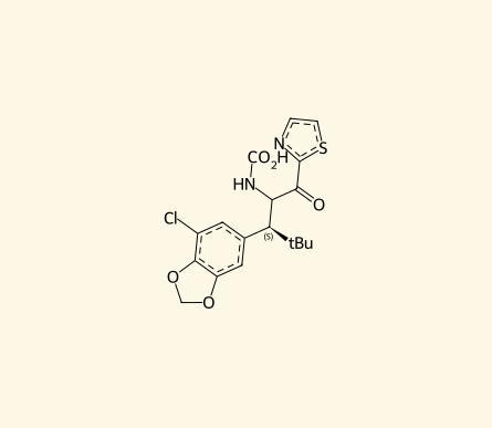 CC(C)(C)[C@@H](c1cc(Cl)c2c(c1)OCO2)C(NC(=O)O)C(=O)c1nccs1